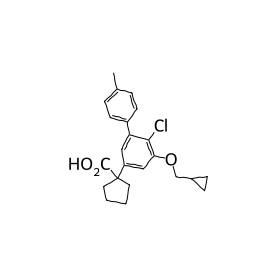 Cc1ccc(-c2cc(C3(C(=O)O)CCCC3)cc(OCC3CC3)c2Cl)cc1